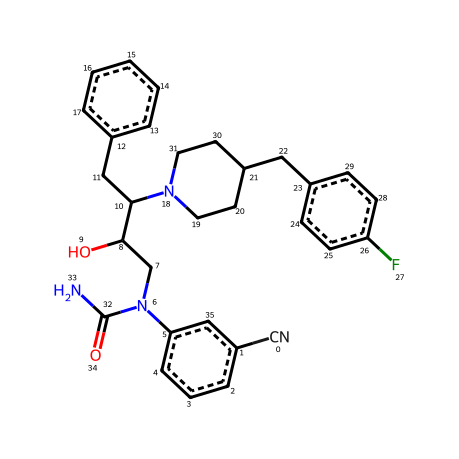 N#Cc1cccc(N(CC(O)C(Cc2ccccc2)N2CCC(Cc3ccc(F)cc3)CC2)C(N)=O)c1